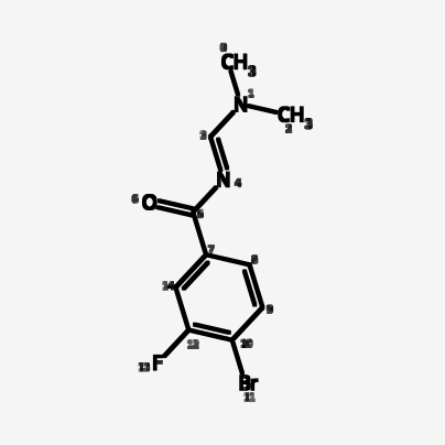 CN(C)C=NC(=O)c1ccc(Br)c(F)c1